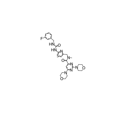 CN(Cc1csc(NC(=O)NCc2cccc(F)c2)n1)C(=O)c1cc(N2CCOCC2)nc(N2CCOCC2)n1